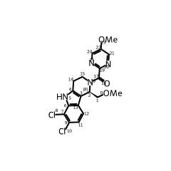 COC[C@H]1c2c([nH]c3c(Cl)c(Cl)ccc23)CCN1C(=O)c1ncc(OC)cn1